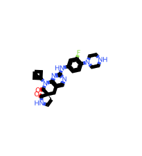 O=C1NCC[C@]12Cc1cnc(Nc3ccc(N4CCNCC4)c(F)c3)nc1N(C13CC(C1)C3)C2=O